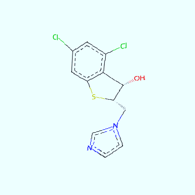 O[C@H]1c2c(Cl)cc(Cl)cc2S[C@H]1Cn1ccnc1